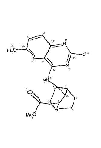 COC(=O)C1C2CCC(CC2)C1Nc1nc(Cl)nc2ccc(C)cc12